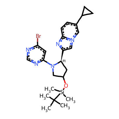 CC(C)(C)[Si](C)(C)OC1C[C@H](c2cn3cc(C4CC4)ccc3n2)N(c2cc(Br)ncn2)C1